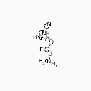 CN(C)CCOc1cc(F)cc(-c2cccc3[nH]c(-c4n[nH]c5ccc(-c6ccncc6)nc45)cc23)c1